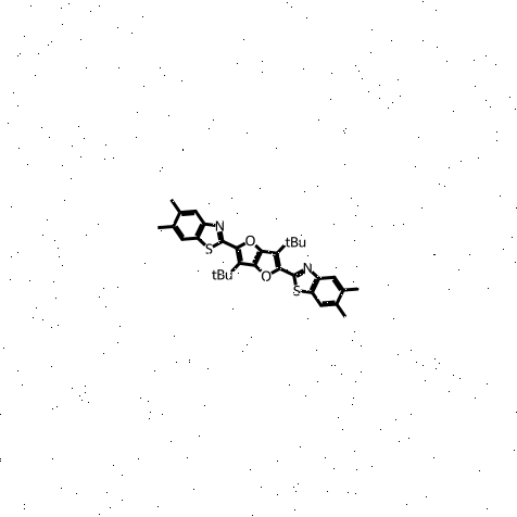 Cc1cc2nc(-c3oc4c(C(C)(C)C)c(-c5nc6cc(C)c(C)cc6s5)oc4c3C(C)(C)C)sc2cc1C